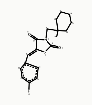 CC1(CN2C(=O)SC(=Cc3ccc(F)cc3)C2=O)CCCCC1